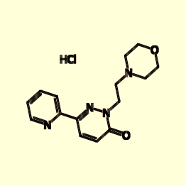 Cl.O=c1ccc(-c2ccccn2)nn1CCN1CCOCC1